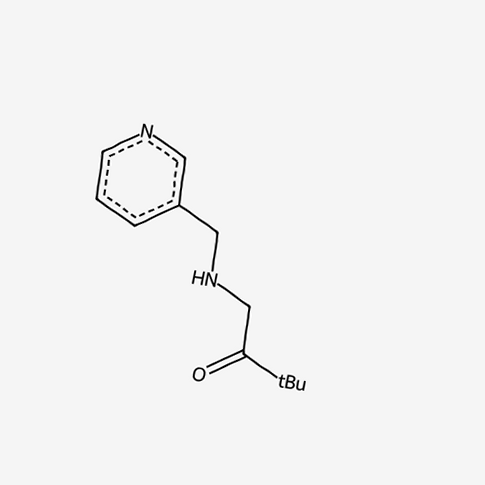 CC(C)(C)C(=O)CNCc1cccnc1